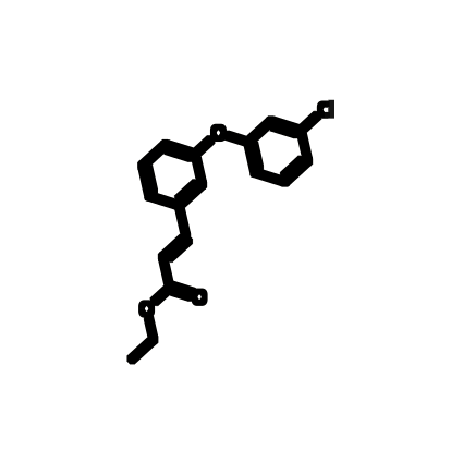 CCOC(=O)/C=C/c1cccc(Oc2cccc(Cl)c2)c1